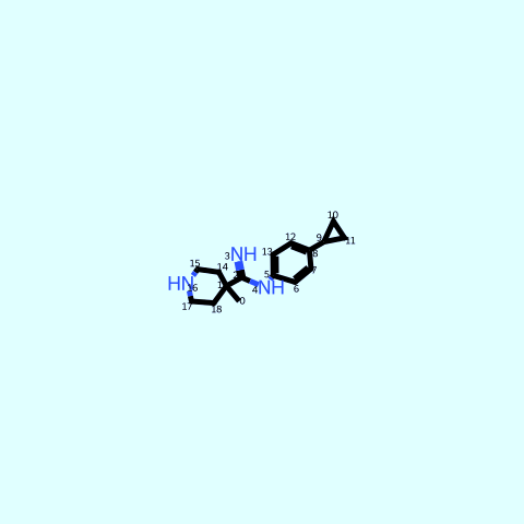 CC1(C(=N)Nc2ccc(C3CC3)cc2)CCNCC1